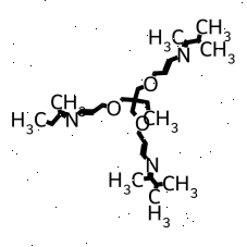 CC/C(C)=N/C=C/COCC(CC)(COC/C=C/N=C(\C)C(C)C)COC/C=C/N=C(\C)C(C)C